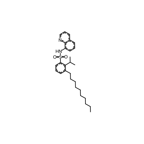 CCCCCCCCCCc1cccc(S(=O)(=O)Nc2cccc3cccnc23)c1C(C)C